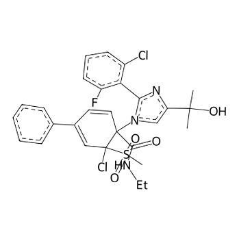 CCNC(=O)C1(n2cc(C(C)(C)O)nc2-c2c(F)cccc2Cl)C=CC(c2ccccc2)=CC1(Cl)S(C)(=O)=O